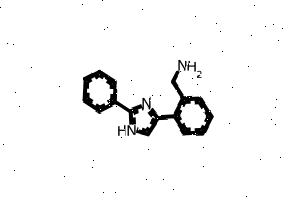 NCc1ccccc1-c1c[nH]c(-c2ccccc2)n1